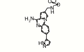 CS(=O)(=O)NCc1cc2c(N)nc3cc(-c4ccn[nH]4)ccc3n2c1